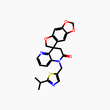 CC(C)c1ncc(CN2C(=O)CC3(COc4cc5c(cc43)OCO5)c3ncccc32)s1